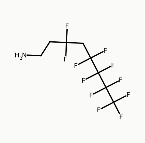 NCCC(F)(F)CC(F)(F)C(F)(F)C(F)(F)C(F)(F)F